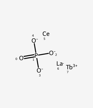 O=P([O-])([O-])[O-].[Ce].[La].[Tb+3]